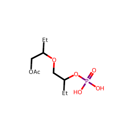 CCC(COC(C)=O)OCC(CC)OP(=O)(O)O